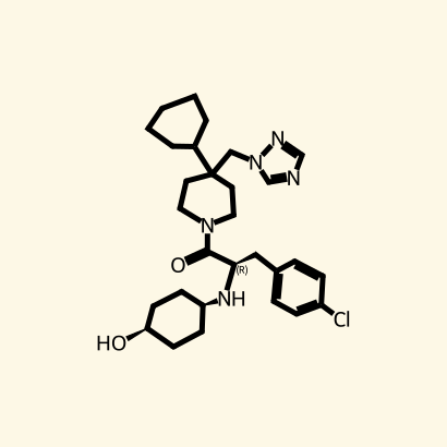 O=C([C@@H](Cc1ccc(Cl)cc1)N[C@H]1CC[C@@H](O)CC1)N1CCC(Cn2cncn2)(C2CCCCC2)CC1